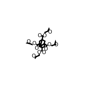 O=C(OCC1CO1)C12CC3(C(=O)OCC4CO4)CC(C(=O)OCC4CO4)(C1)CC(C(=O)OCC1CO1)(C2)C3